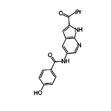 CC(C)C(=O)c1cc2cc(NC(=O)c3ccc(O)cc3)cnc2[nH]1